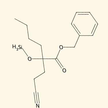 CCCCC(CCC#N)(O[SiH3])C(=O)OCc1ccccc1